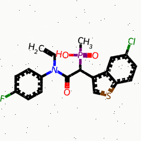 C=CN(C(=O)C(c1csc2ccc(Cl)cc12)P(C)(=O)O)c1ccc(F)cc1